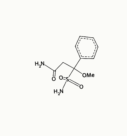 COC(CC(N)=O)(c1ccccc1)S(N)(=O)=O